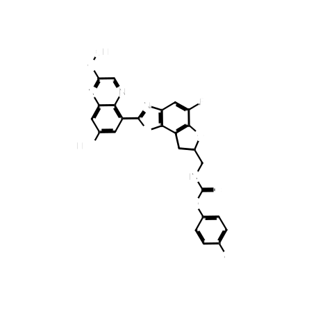 COc1cnc2c(-c3nc4cc(F)c5c(c4s3)CC(CNC(=O)Oc3ccc(Cl)cc3)O5)cc(C)cc2n1